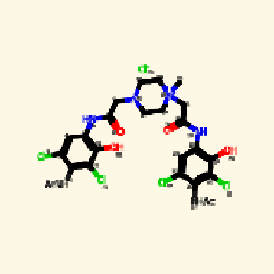 CC(=O)Nc1c(Cl)cc(NC(=O)CN2CC[N+](C)(CC(=O)Nc3cc(Cl)c(NC(C)=O)c(Cl)c3O)CC2)c(O)c1Cl.[Cl-]